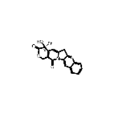 CC[C@@]1(O)C(=O)OCc2c1cc1n(c2=O)-c2cc3ccccc3nc2C1